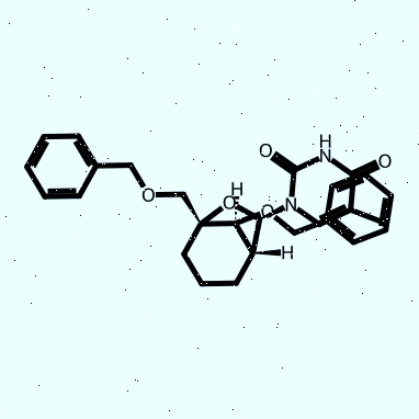 Cc1cn([C@@H]2O[C@@]3(COCc4ccccc4)CCC[C@@H]2[C@@H]3OCc2ccccc2)c(=O)[nH]c1=O